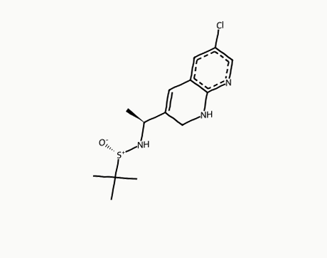 C[C@H](N[S@@+]([O-])C(C)(C)C)C1=Cc2cc(Cl)cnc2NC1